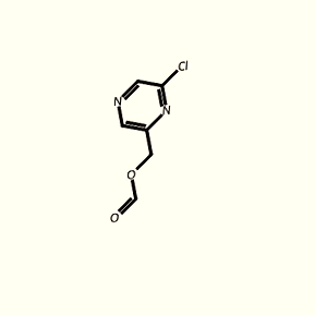 O=COCc1cncc(Cl)n1